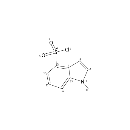 Cn1ccc2c(S(=O)(=O)Cl)cccc21